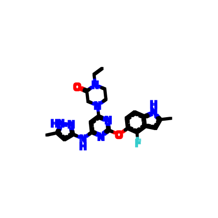 CCN1CCN(c2cc(Nc3cc(C)[nH]n3)nc(Oc3ccc4[nH]c(C)cc4c3F)n2)CC1=O